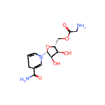 NCC(=O)OC[C@H]1O[C@@H](N2C=CCC(C(N)=O)=C2)[C@H](O)[C@@H]1O